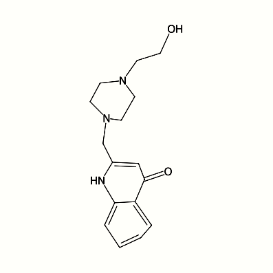 O=c1cc(CN2CCN(CCO)CC2)[nH]c2ccccc12